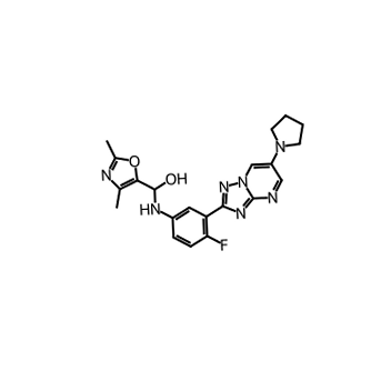 Cc1nc(C)c(C(O)Nc2ccc(F)c(-c3nc4ncc(N5CCCC5)cn4n3)c2)o1